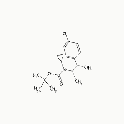 CC(C(O)c1ccc(Cl)cc1)N(C(=O)OC(C)(C)C)C1CC1